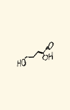 O=CC(O)=CCCO